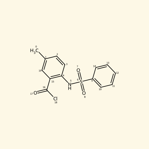 Cc1ccc(NS(=O)(=O)c2ccccc2)c(C(=O)Cl)c1